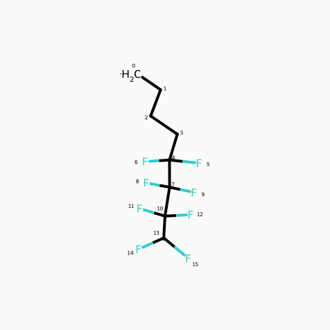 [CH2]CCCC(F)(F)C(F)(F)C(F)(F)[C](F)F